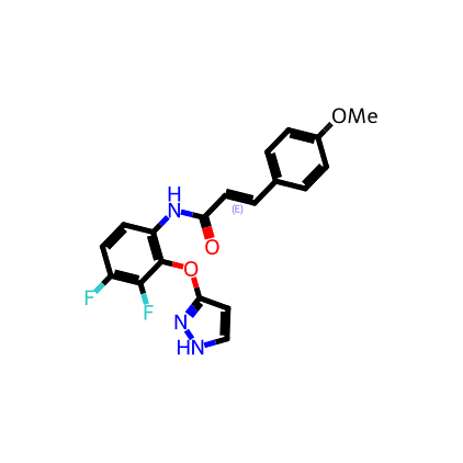 COc1ccc(/C=C/C(=O)Nc2ccc(F)c(F)c2Oc2cc[nH]n2)cc1